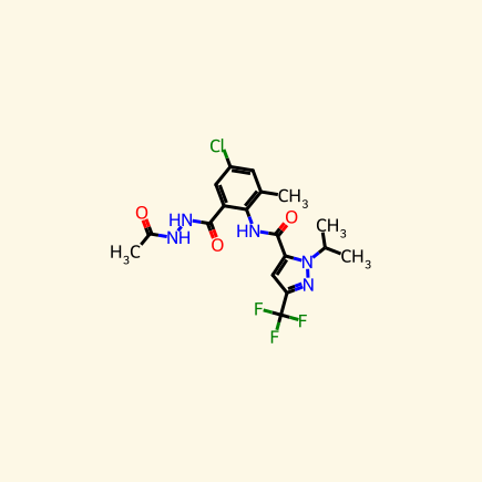 CC(=O)NNC(=O)c1cc(Cl)cc(C)c1NC(=O)c1cc(C(F)(F)F)nn1C(C)C